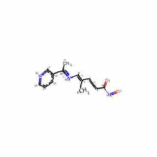 CC(/C=C/C(=O)N=O)=C\N=C(/C)c1cccnc1